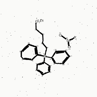 CCOC(=O)CCCC[P+](c1ccccc1)(c1ccccc1)c1ccccc1.[Cl][Zn-]([Cl])[Br]